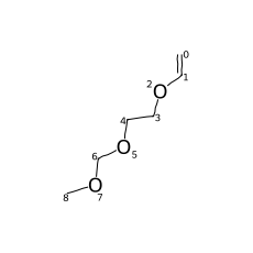 C=COCCOCOC